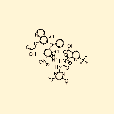 COc1cc(OC)nc(NC(=O)NS(=O)(=O)c2nc(C(F)(F)F)ccc2C(=O)O)n1.Nc1c([N+](=O)[O-])ccc(Oc2ccccc2)c1Cl.O=C(O)COc1ccc(Cl)c2cccnc12